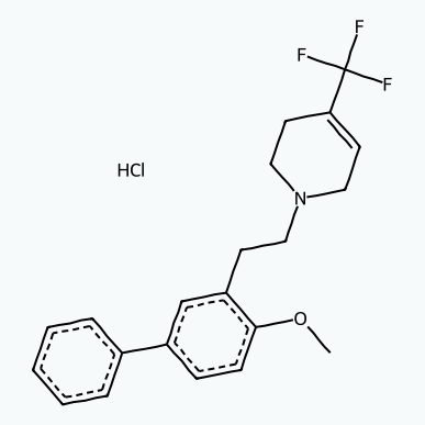 COc1ccc(-c2ccccc2)cc1CCN1CC=C(C(F)(F)F)CC1.Cl